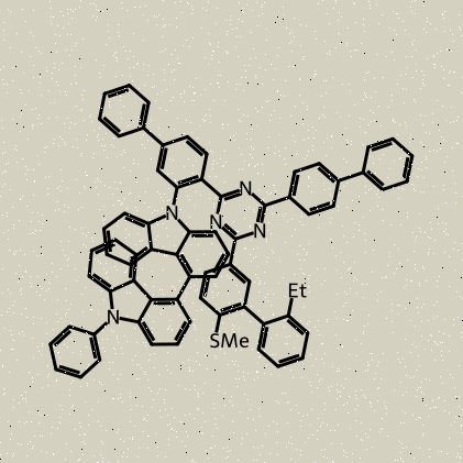 CCc1ccccc1-c1cc(-c2nc(-c3ccc(-c4ccccc4)cc3)nc(-c3ccc(-c4ccccc4)cc3-n3c4ccccc4c4c(-c5cccc6c5c5ccccc5n6-c5ccccc5)cccc43)n2)ccc1SC